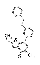 CCc1cc2c(=O)n(C)cc(-c3cccc(OCc4ccccc4)c3)c2s1